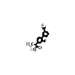 CC(C(=O)O)c1ccc(-c2cccc(C(F)(F)F)c2)c(F)c1